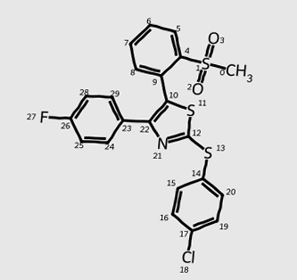 CS(=O)(=O)c1ccccc1-c1sc(Sc2ccc(Cl)cc2)nc1-c1ccc(F)cc1